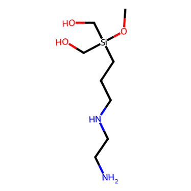 CO[Si](CO)(CO)CCCNCCN